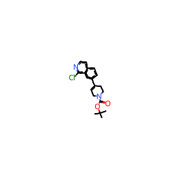 CC(C)(C)OC(=O)N1CC=C(c2ccc3ccnc(Cl)c3c2)CC1